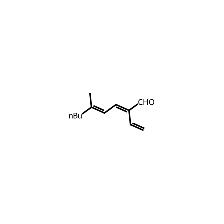 C=C/C(C=O)=C\C=C(/C)CCCC